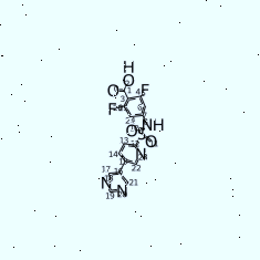 O=C(O)c1c(F)cc(NS(=O)(=O)c2ccc(-c3cncnc3)cn2)cc1F